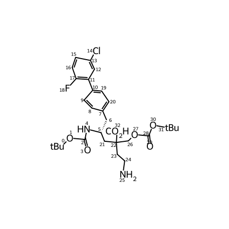 CC(C)(C)OC(=O)N[C@H](Cc1ccc(-c2cc(Cl)ccc2F)cc1)CC(CCN)(COC(=O)OC(C)(C)C)C(=O)O